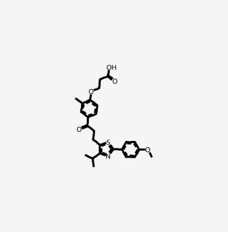 COc1ccc(-c2nc(C(C)C)c(CCC(=O)c3ccc(OCCC(=O)O)c(C)c3)s2)cc1